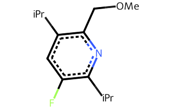 COCc1nc(C(C)C)c(F)cc1C(C)C